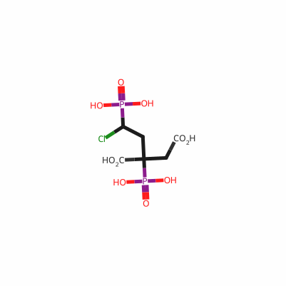 O=C(O)CC(CC(Cl)P(=O)(O)O)(C(=O)O)P(=O)(O)O